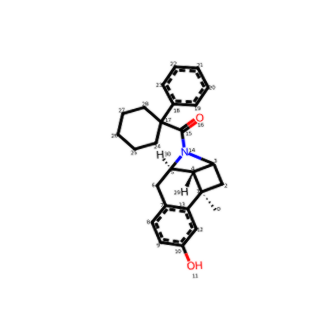 C[C@@]12CC3[C@H]1[C@@H](Cc1ccc(O)cc12)N3C(=O)C1(c2ccccc2)CCCCC1